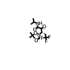 CC(C)NC(=O)C(=O)[C@H](CC(F)(F)F)N(C=O)OC(C)(C)C